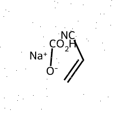 C=CC#N.O=C([O-])O.[Na+]